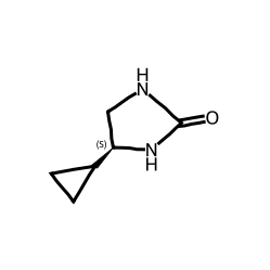 O=C1NC[C@H](C2CC2)N1